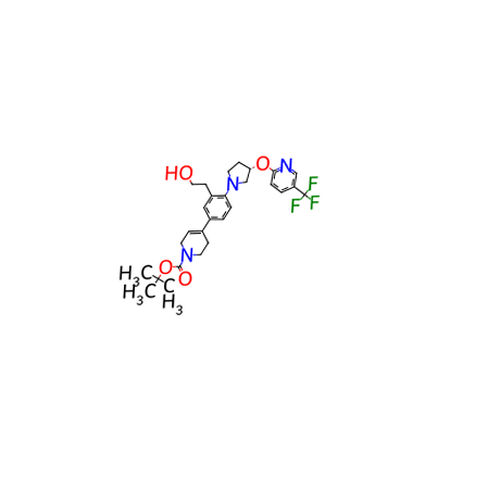 CC(C)(C)OC(=O)N1CC=C(c2ccc(N3CC[C@H](Oc4ccc(C(F)(F)F)cn4)C3)c(CCO)c2)CC1